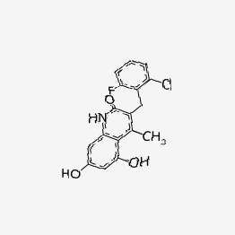 Cc1c(Cc2c(F)cccc2Cl)c(=O)[nH]c2cc(O)cc(O)c12